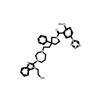 COc1ccc(-n2cnnn2)cc1C(=O)N1CCC(CCN2CCCN(c3nc4ccccc4n3CCO)CC2)(c2ccccc2)C1